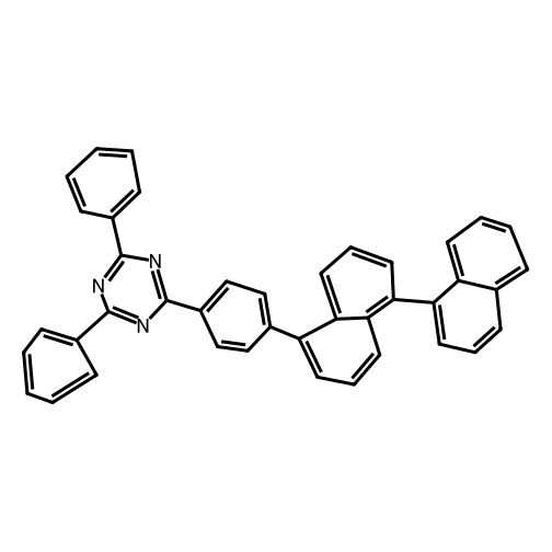 c1ccc(-c2nc(-c3ccccc3)nc(-c3ccc(-c4cccc5c(-c6cccc7ccccc67)cccc45)cc3)n2)cc1